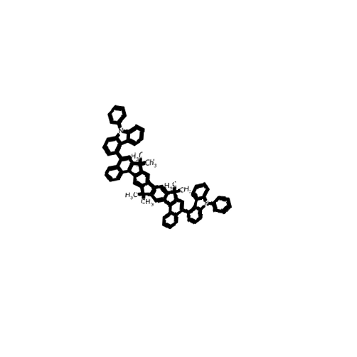 CC1(C)c2cc3c(cc2-c2cc4c(cc21)-c1c(cc(-c2cccc5c2c2ccccc2n5-c2ccccc2)c2ccccc12)C4(C)C)C(C)(C)c1cc(-c2cccc4c2c2ccccc2n4-c2ccccc2)c2ccccc2c1-3